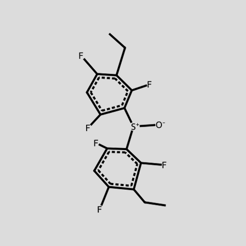 CCc1c(F)cc(F)c([S+]([O-])c2c(F)cc(F)c(CC)c2F)c1F